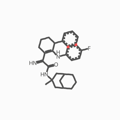 CC1(NC(=O)C(=N)C2=C(Nc3ccc(F)cc3)C(c3ccccc3)CCC2)CC2CCCC(C2)C1